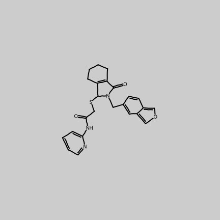 O=C(CSC1C2=C(CCCC2)C(=O)N1Cc1ccc2cocc2c1)Nc1ccccn1